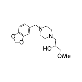 COCC(O)CN1CCN(Cc2ccc3c(c2)OCO3)CC1